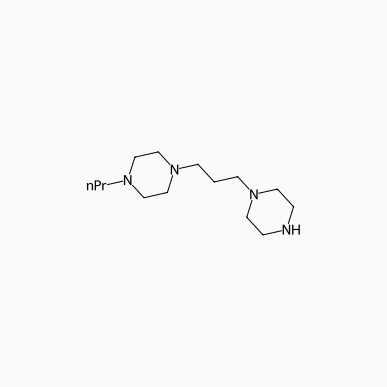 CCCN1CCN(CCCN2CCNCC2)CC1